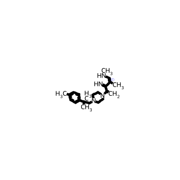 C=C(C(=N)/C(C)=C\NC)N1CCN(CC(C)(C)c2ccc(C)cc2)CC1